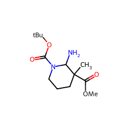 COC(=O)C1(C)CCCN(C(=O)OC(C)(C)C)C1N